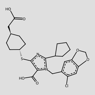 O=C(O)C[C@H]1CC[C@H](Sc2nc(C3CCCC3)n(Cc3cc4c(cc3Cl)OCO4)c2C(=O)O)CC1